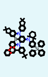 CC1(C)Cc2ccc(N3c4cc5c(cc4B4c6ccc(-c7ccccc7)cc6N(c6ccc(C(C)(C)C)cc6-c6ccccc6)c6cc(N7c8ccc([Si](c9ccccc9)(c9ccccc9)c9ccccc9)cc8C8(C)CCCCC78C)cc3c64)CC(C)(C)C5)cc2C1